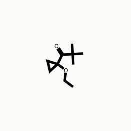 CCOC1(C(=O)C(C)(C)C)CC1